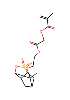 C=C(C)C(=O)OCC(=O)OCCOC1(C)C2CC3C1OS(=O)(=O)C3C2